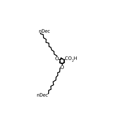 CCCCCCCCCCCCCCCCCCCCCCOc1cc(OCCCCCCCCCCCCCCCCCCCCCC)cc(C(=O)O)c1